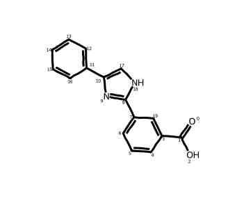 O=C(O)c1cccc(-c2nc(-c3ccccc3)c[nH]2)c1